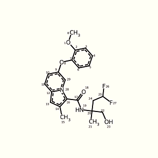 COc1ccccc1Oc1ccc2cc(C)c(C(=O)NC(C)(CO)CC(F)F)n2c1